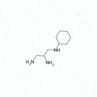 NCC(N)CNC1CCCCC1